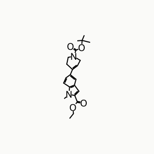 CCOC(=O)c1cc2cc(C3=CCN(C(=O)OC(C)(C)C)CC3)ccc2n1C